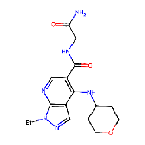 CCn1ncc2c(NC3CCOCC3)c(C(=O)NCC(N)=O)cnc21